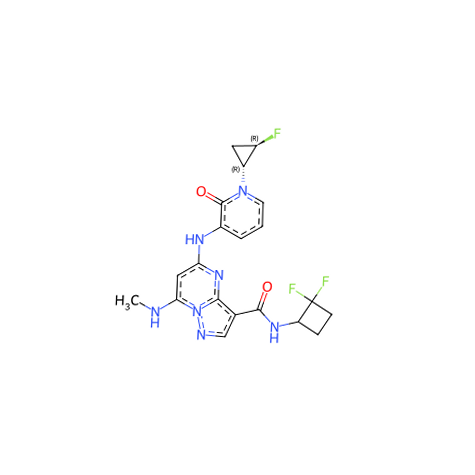 CNc1cc(Nc2cccn([C@@H]3C[C@H]3F)c2=O)nc2c(C(=O)NC3CCC3(F)F)cnn12